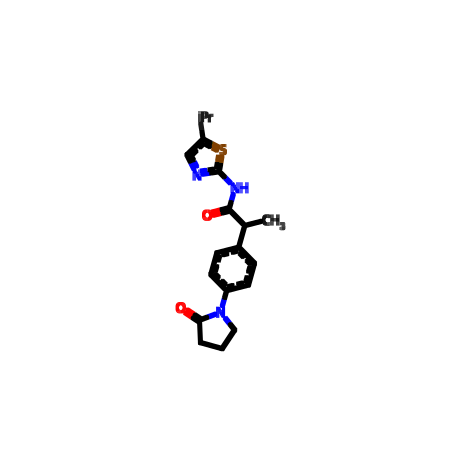 CC(C)c1cnc(NC(=O)C(C)c2ccc(N3CCCC3=O)cc2)s1